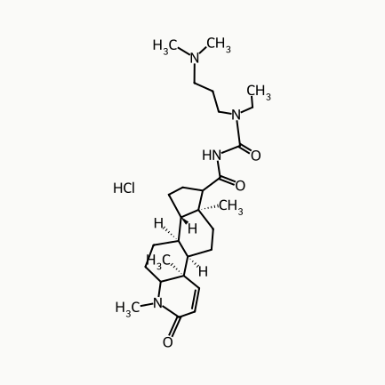 CCN(CCCN(C)C)C(=O)NC(=O)C1CC[C@H]2[C@@H]3CCC4N(C)C(=O)C=C[C@]4(C)[C@@H]3CC[C@]12C.Cl